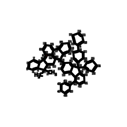 CC1(C)c2ccccc2-c2ccc(N(c3ccc4c(c3)C(c3ccccc3)(c3ccc(-c5ccccc5)cc3)c3cccc(-c5ccccc5)c3-4)c3ccccc3-c3ccccc3)cc21